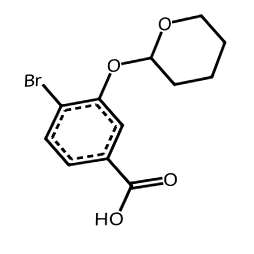 O=C(O)c1ccc(Br)c(OC2CCCCO2)c1